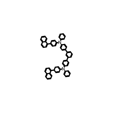 C1=CC(c2cccc3ccccc23)CC=C1N(c1ccccc1)c1ccc(-c2cccc(-c3ccc(N(c4ccccc4)c4ccc(-c5cccc6ccccc56)cc4)cc3)c2)cc1